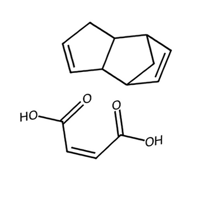 C1=CC2C3C=CC(C3)C2C1.O=C(O)/C=C\C(=O)O